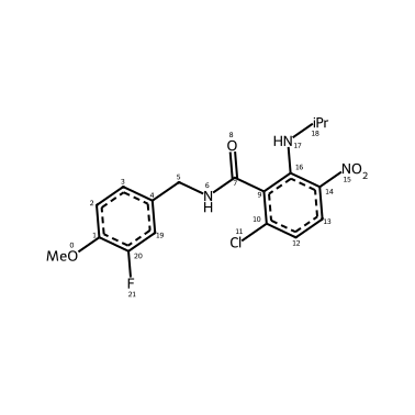 COc1ccc(CNC(=O)c2c(Cl)ccc([N+](=O)[O-])c2NC(C)C)cc1F